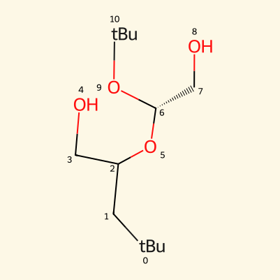 CC(C)(C)CC(CO)O[C@@H](CO)OC(C)(C)C